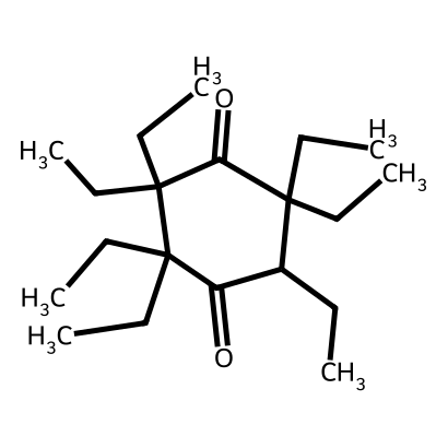 CCC1C(=O)C(CC)(CC)C(CC)(CC)C(=O)C1(CC)CC